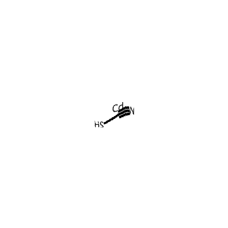 N#CS.[Cd]